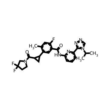 Cc1cc(F)c(C(=O)Nc2cccc(-c3nncn3C(C)C)n2)cc1C1CC1C(=O)N1CCC(F)(F)C1